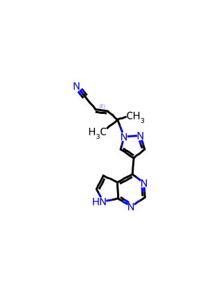 CC(C)(/C=C/C#N)n1cc(-c2ncnc3[nH]ccc23)cn1